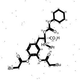 CCC(C)CC(=O)Oc1ccc(C[C@](NC(C)C)(OC(=O)OC2CCCCC2)C(=O)O)cc1OC(=O)CC(C)CC